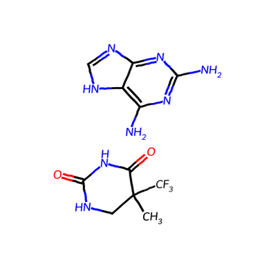 CC1(C(F)(F)F)CNC(=O)NC1=O.Nc1nc(N)c2[nH]cnc2n1